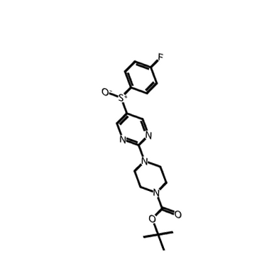 CC(C)(C)OC(=O)N1CCN(c2ncc([S+]([O-])c3ccc(F)cc3)cn2)CC1